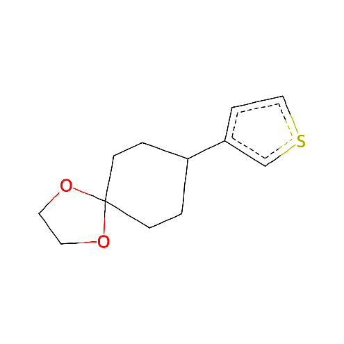 c1cc(C2CCC3(CC2)OCCO3)cs1